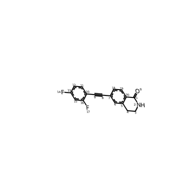 O=C1NCCc2cc(C#Cc3ccc(F)cc3F)ccc21